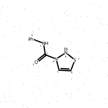 CC(C)NC(=O)N1C=CSN1